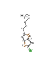 CCCCCc1cc2sc(Br)cc2s1